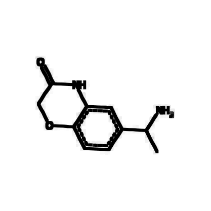 CC(N)c1ccc2c(c1)NC(=O)CO2